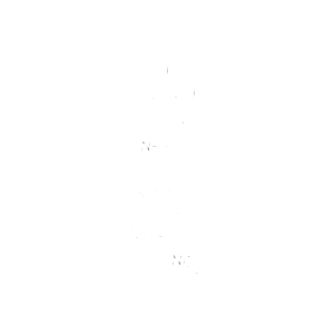 O=[N+]([O-])c1ccc(CN2CCC(F)(F)CC2)cc1